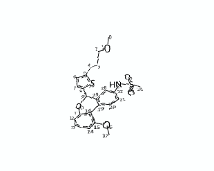 COCCCc1ccc(C2Oc3cccc(OC)c3-c3ccc(NS(C)(=O)=O)cc32)s1